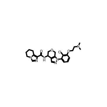 CN(C)CCOc1cccc(-n2ncc3c2COCC3NC(=O)c2ncn3c2CCCC3)c1Cl